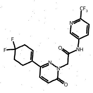 O=C(Cn1nc(C2=CCC(F)(F)CC2)ccc1=O)Nc1ccc(C(F)(F)F)nc1